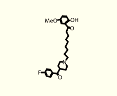 COc1ccc(O)c(C(=O)CCCCCCCCN2CCC(C(=O)c3ccc(F)cc3)CC2)c1